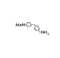 CNc1ccc(Cc2ccc([C@@H](C)N)cc2)cc1